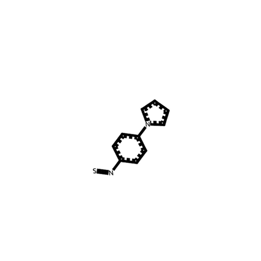 S=Nc1ccc(-n2cccc2)cc1